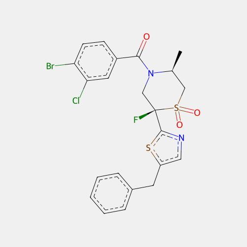 C[C@H]1CS(=O)(=O)[C@](F)(c2ncc(Cc3ccccc3)s2)CN1C(=O)c1ccc(Br)c(Cl)c1